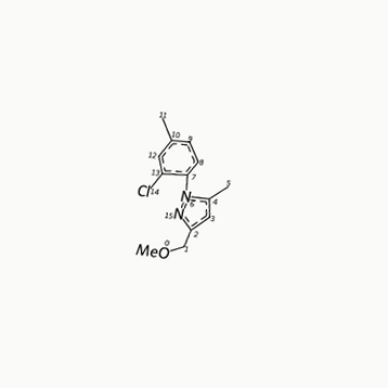 COCc1cc(C)n(-c2ccc(C)cc2Cl)n1